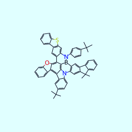 CC(C)(C)c1ccc(N2B3c4cc5c(cc4-n4c6ccc(C(C)(C)C)cc6c6c7c(oc8ccccc87)c(c3c64)-c3cc4c(cc32)sc2ccccc24)C(C)(C)c2ccccc2-5)cc1